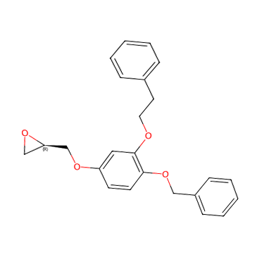 c1ccc(CCOc2cc(OC[C@H]3CO3)ccc2OCc2ccccc2)cc1